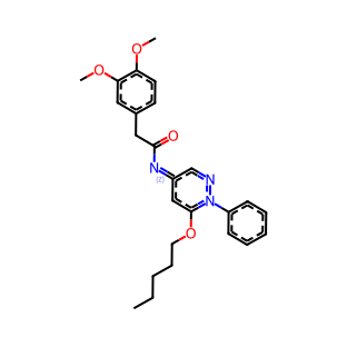 CCCCCOc1c/c(=N/C(=O)Cc2ccc(OC)c(OC)c2)cnn1-c1ccccc1